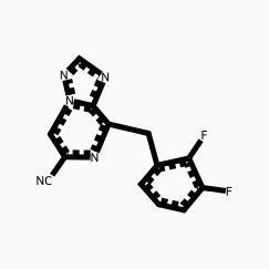 N#Cc1cn2ncnc2c(Cc2cccc(F)c2F)n1